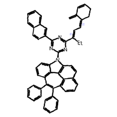 C=C1C=CCC/C1=C/C=C(\CC)c1nc(-c2ccc3ccccc3c2)nc(-n2c3cccc4c3c3c5c(cccc5ccc32)C(c2ccccc2)=C4c2ccccc2)n1